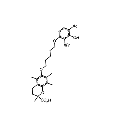 CCCc1c(OCCCCCOc2c(C)c(C)c3c(c2C)CC[C@](C)(C(=O)O)O3)ccc(C(C)=O)c1O